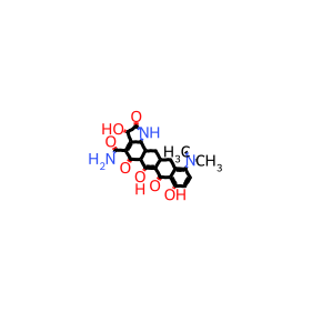 CN(C)c1ccc(O)c2c1CC1CC3C4NC(=O)C(O)C4=C(C(N)=O)C(=O)C3C(O)=C1C2=O